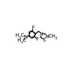 CN1CN(Cc2c(F)cc(N(C)C)cc2F)CS1